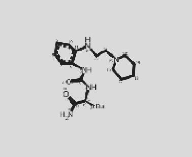 CC(C)(C)[C@H](NC(=O)Nc1ccccc1NCCN1CCCCC1)C(N)=O